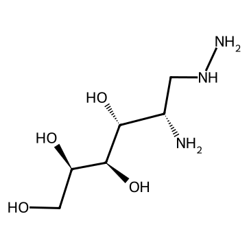 NNC[C@H](N)[C@@H](O)[C@@H](O)[C@H](O)CO